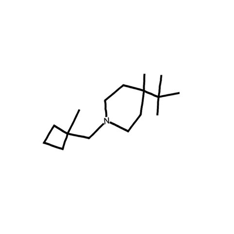 CC1(CN2CCC(C)(C(C)(C)C)CC2)CCC1